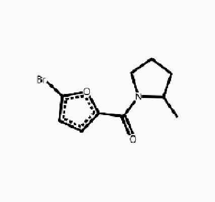 CC1CCCN1C(=O)c1ccc(Br)o1